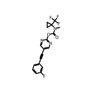 CN(C(=O)Oc1ncc(C#Cc2cccc(F)c2)cn1)C1(C(F)(F)F)CC1